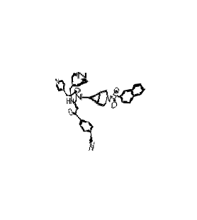 N#Cc1ccc(C(=O)C=C2NC(Cc3ccncc3)(Cc3ccncc3)C(=O)N2C2C3CN(S(=O)(=O)c4ccc5ccccc5c4)CC32)cc1